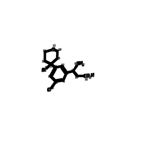 CCC1(c2cc(Cl)cc([C@@H](N)CC(=O)O)c2)CCOCC1